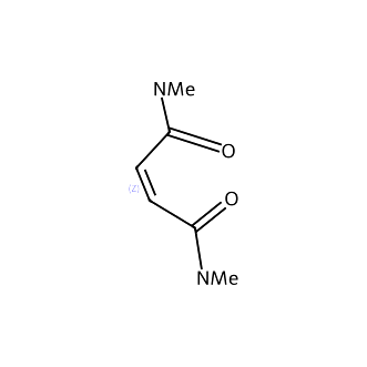 CNC(=O)/C=C\C(=O)NC